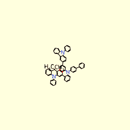 CC1(C)c2ccccc2N(c2ccccc2)c2cc(-c3ccccc3N(c3ccc(-c4ccccc4)cc3)c3cccc(-c4ccc5c(c4)c4ccccc4n5-c4ccccc4)c3)ccc21